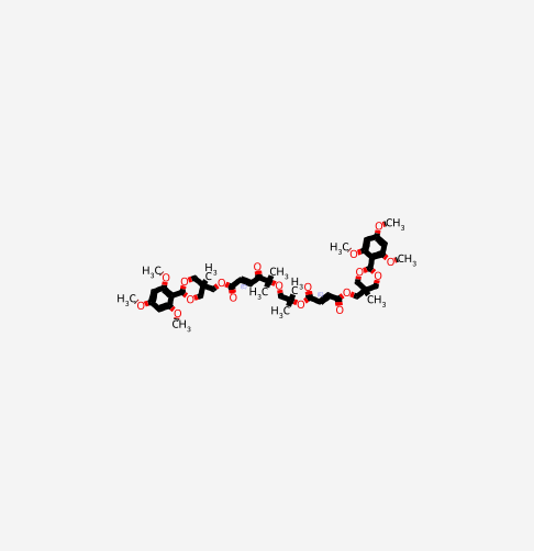 COc1cc(OC)c(C2OCC(C)(COC(=O)/C=C/C(=O)OC(C)(C)COC(C)(C)C(=O)/C=C/C(=O)OCC3(C)COC(c4c(OC)cc(OC)cc4OC)OC3)CO2)c(OC)c1